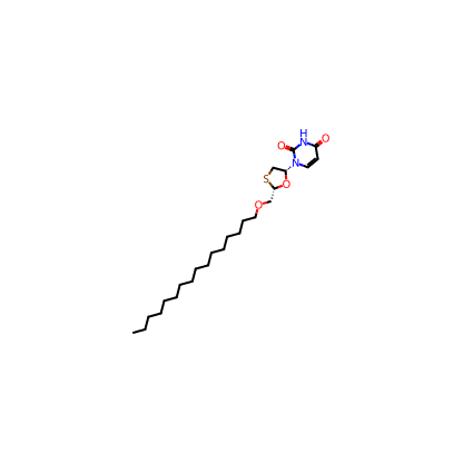 CCCCCCCCCCCCCCCCOC[C@H]1O[C@@H](n2ccc(=O)[nH]c2=O)CS1